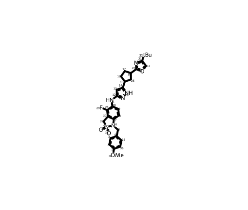 COc1ccc(CN2c3ccc(Nc4cc(C5CCC(c6nc(C(C)(C)C)co6)C5)[nH]n4)c(F)c3CS2(=O)=O)cc1